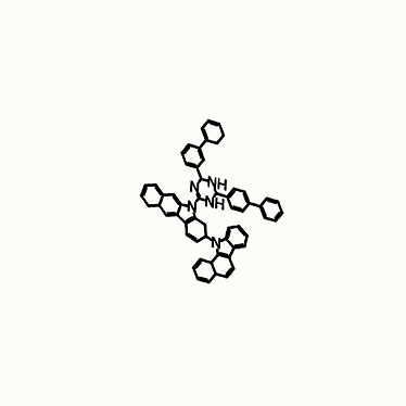 C1=CCCC(c2cccc(C3N=C(n4c5c(c6c4=CC4=CC=CCC4C=6)C=CC(n4c6c(c7ccccc74)C=CC4C=CC=CC64)C5)NC(c4ccc(-c5ccccc5)cc4)N3)c2)=C1